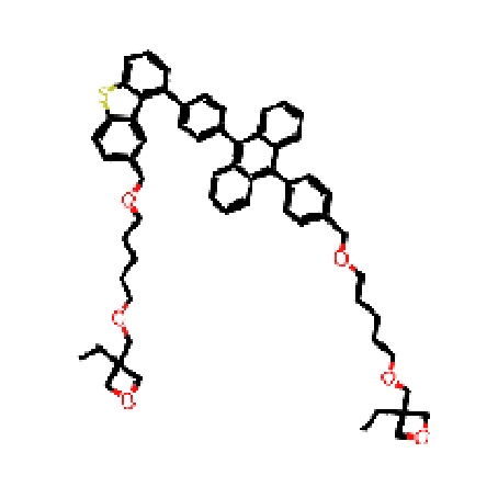 CCC1(COCCCCCOCc2ccc(-c3c4ccccc4c(-c4ccc(-c5cccc6sc7ccc(COCCCCCOCC8(CC)COC8)cc7c56)cc4)c4ccccc34)cc2)COC1